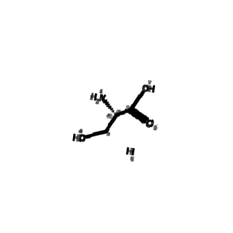 I.N[C@@H](CO)C(=O)O